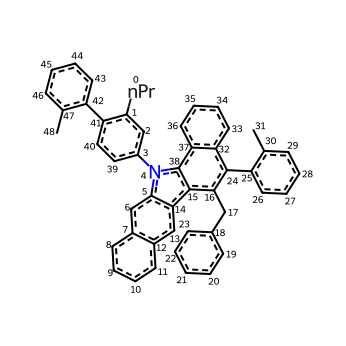 CCCc1cc(-n2c3cc4ccccc4cc3c3c(Cc4ccccc4)c(-c4ccccc4C)c4ccccc4c32)ccc1-c1ccccc1C